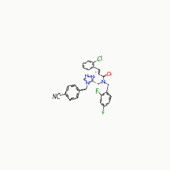 N#Cc1ccc(Cn2cnnc2CN(Cc2ccc(F)cc2F)C(=O)/C=C/c2ccccc2Cl)cc1